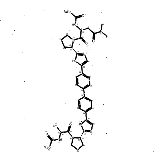 COC(=O)N[C@@H](CC(=O)N(C)C)C(=O)N1CCC[C@H]1c1ncc(-c2ccc(-c3ccc(-c4cnc([C@@H]5CCCN5C(=O)[C@@H](NC(=O)OC)C(C)C)[nH]4)cc3)cc2)[nH]1